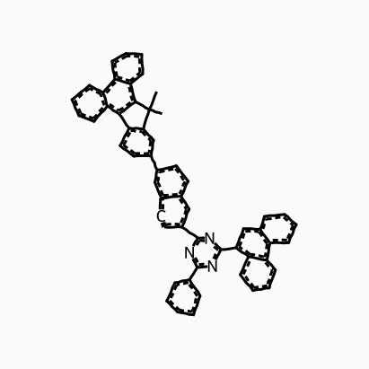 CC1(C)c2cc(-c3ccc4cc(-c5nc(-c6ccccc6)nc(-c6cc7ccccc7c7ccccc67)n5)ccc4c3)ccc2-c2c1c1ccccc1c1ccccc21